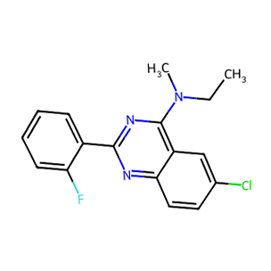 CCN(C)c1nc(-c2ccccc2F)nc2ccc(Cl)cc12